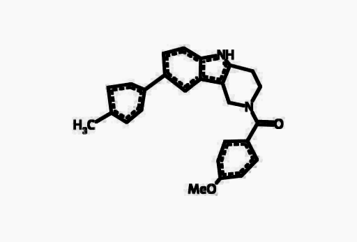 COc1ccc(C(=O)N2CCc3[nH]c4ccc(-c5ccc(C)cc5)cc4c3C2)cc1